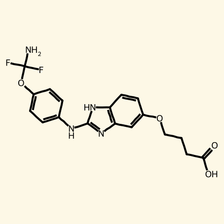 NC(F)(F)Oc1ccc(Nc2nc3cc(OCCCC(=O)O)ccc3[nH]2)cc1